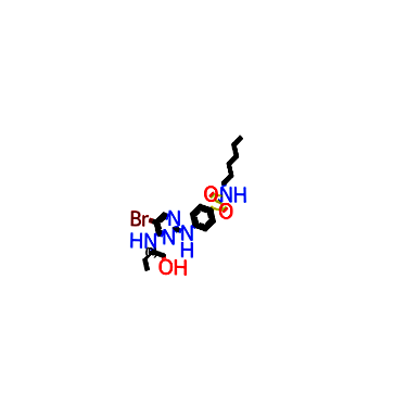 CCCCCCNS(=O)(=O)c1ccc(Nc2ncc(Br)c(N[C@H](CC)CO)n2)cc1